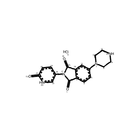 Cl.O=C1c2ccc(N3CCNCC3)cc2C(=O)N1c1ccc(=O)[nH]c1